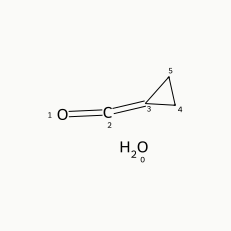 O.O=C=C1CC1